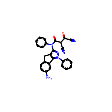 N#CC(=O)C(C#N)C(=O)N(c1ccccc1)c1nn(-c2ccccc2)c2c1Cc1ccc(N)cc1-2